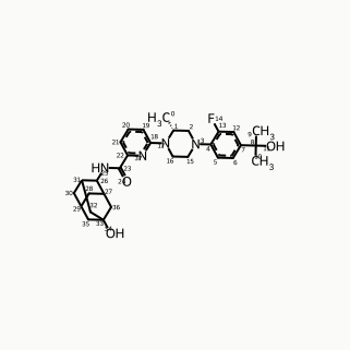 C[C@@H]1CN(c2ccc(C(C)(C)O)cc2F)CCN1c1cccc(C(=O)NC2C3CC4CC2CC(O)(C4)C3)n1